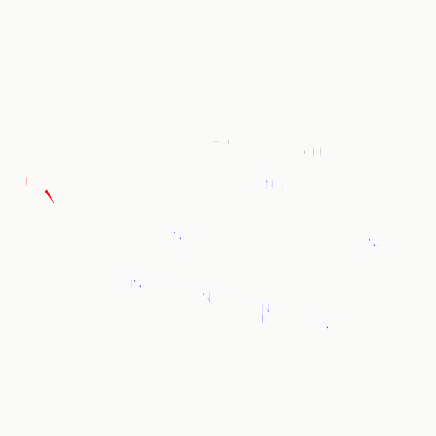 CC(C)(C)NCc1cc(Nc2nc3cccnc3s2)nc(N[C@H]2CC[C@H](O)CC2)n1